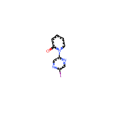 O=c1ccccn1-c1cnc(I)cn1